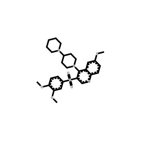 COc1ccc(S(=O)(=O)c2cnc3ccc(SC)cc3c2N2CCC(N3CCCCC3)CC2)cc1OC